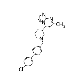 Cc1cc(C2CCCN(Cc3ccc(-c4ccc(Cl)cc4)cc3)C2)n2ncnc2n1